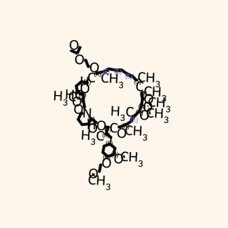 COCCO[C@@H]1CC[C@@H](C[C@@H](C)[C@@H]2CC(=O)[C@H](C)/C=C(\C)[C@@H](OC)[C@@H](OC)C(=O)[C@H](C)C[C@H](C)/C=C/C=C/C=C(\C)[C@H](OCCOC3COC3)C[C@@H]3CC[C@@H](C)[C@@](O)(O3)C(=O)C(=O)N3CCCC[C@H]3C(=O)O2)C[C@H]1OC